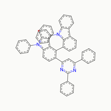 c1ccc(-c2cc(-c3ccc4c(c3-c3cccc5c6ccccc6n(-c6ccccc6)c35)c3ccccc3n4-c3ccccc3)nc(-c3ccccc3)n2)cc1